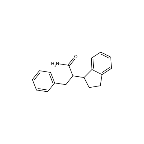 NC(=O)C(Cc1ccccc1)C1CCc2ccccc21